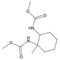 COC(=O)NC1CCCCC1(C)NC(=O)OC